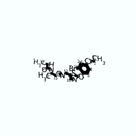 CCOc1ccc(Oc2ncc(/C=N/OC[C@H](C)NC(=O)CC)s2)c(Br)c1